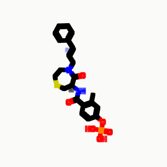 Cc1cc(OP(=O)(O)O)ccc1C(=O)N[C@H]1CSCCN(C/C=C/c2ccccc2)C1=O